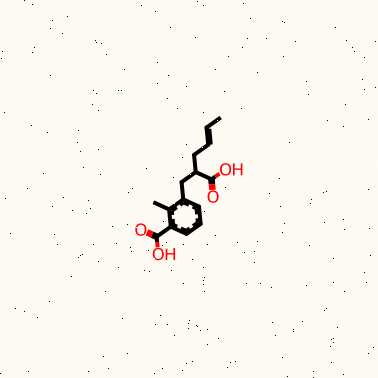 CC=CCC(Cc1cccc(C(=O)O)c1C)C(=O)O